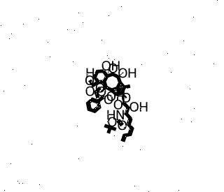 C=C/C=C\C=C\[C@H](NC(=O)OC(C)(C)C)[C@@H](O)C(=O)O[C@H]1C[C@@]2(O)[C@@H](OC(=O)c3ccccc3)C3[C@](C)(C(=O)[C@H](O)C(=C1C)C2(C)C)C(O)C[C@H]1OC[C@@]31OC(C)=O